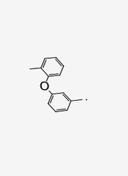 [CH2]c1cccc(Oc2ccccc2C)c1